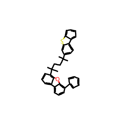 CC(C)(CCC(C)(C)c1cccc2c1oc1c(-c3ccccc3)cccc12)c1ccc2c(c1)sc1ccccc12